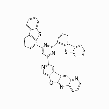 C1=C(c2cc(-c3cc4c(cn3)oc3nc5cccnc5cc34)nc(-c3cccc4c3sc3ccccc34)n2)c2sc3ccccc3c2CC1